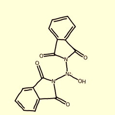 O=C1c2ccccc2C(=O)N1[N+](O)N1C(=O)c2ccccc2C1=O